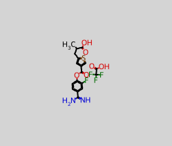 CC(Cc1cc(C(=O)Oc2ccc(C(=N)N)cc2F)cs1)C(=O)O.O=C(O)C(F)(F)F